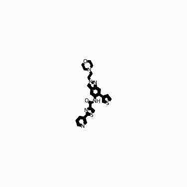 O=C(Nc1cc2cn(CCN3CCOCC3)nc2cc1-c1ccsc1)c1csc(-c2cccnc2)n1